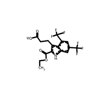 CCOC(=O)c1[nH]c2cc(C(F)(F)F)cc(C(F)(F)F)c2c1CCC(=O)O